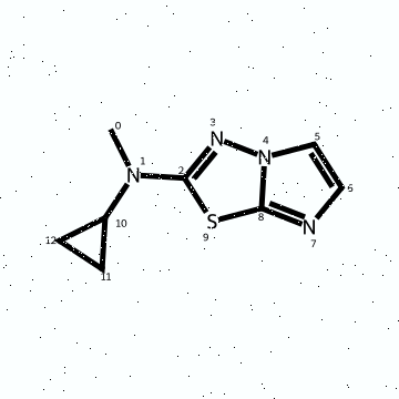 CN(c1nn2ccnc2s1)C1CC1